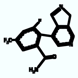 NC(=O)c1cc(C(F)(F)F)cc(F)c1-c1cncc2c1C=NC2